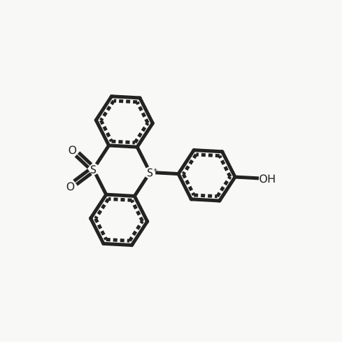 O=S1(=O)c2ccccc2[S+](c2ccc(O)cc2)c2ccccc21